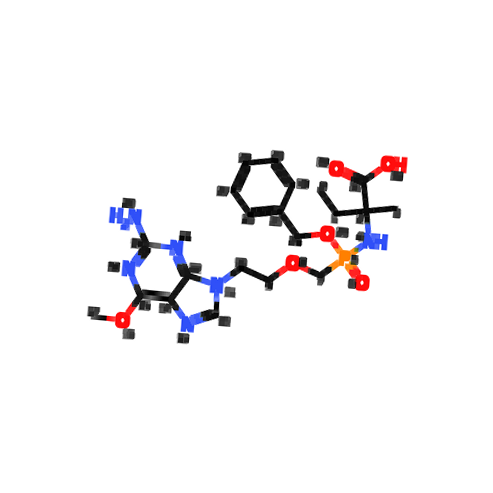 CCC(C)(NP(=O)(COCCn1cnc2c(OC)nc(N)nc21)OCc1ccccc1)C(=O)O